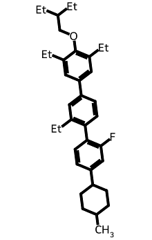 CCc1cc(-c2cc(CC)c(OCC(CC)CC)c(CC)c2)ccc1-c1ccc(C2CCC(C)CC2)cc1F